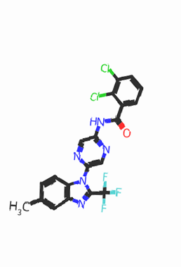 Cc1ccc2c(c1)nc(C(F)(F)F)n2-c1cnc(NC(=O)c2cccc(Cl)c2Cl)cn1